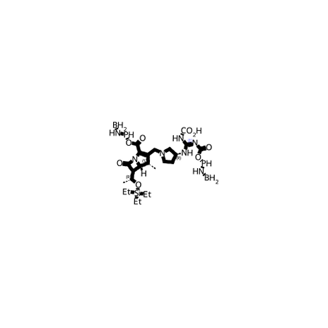 BNPOC(=O)/N=C(/NC(=O)O)N[C@@H]1CCN(CC2=C(C(=O)OPNB)N3C(=O)C([C@@H](C)O[Si](CC)(CC)CC)[C@H]3[C@H]2C)C1